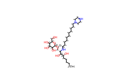 CCCCCCCCCCCCCC[C@@H](O)[C@@H](O)[C@H](COC1OC(CO)C(O)C(O)C1O)N[C@@H](CCCCCCCCCCN1CCNCC1)C(F)(F)F